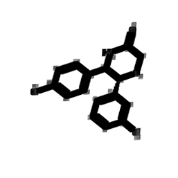 O=C1CO[C@H](c2cccc(Cl)c2)C(c2ccc(Cl)cc2)N1